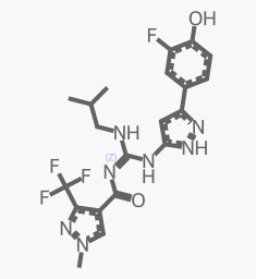 CC(C)CN/C(=N/C(=O)c1cn(C)nc1C(F)(F)F)Nc1cc(-c2ccc(O)c(F)c2)n[nH]1